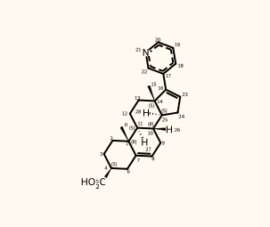 C[C@]12CC[C@H](C(=O)O)CC1=CC[C@@H]1[C@@H]2CC[C@]2(C)C(c3cccnc3)=CC[C@@H]12